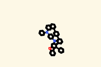 c1ccc(-c2ccc(-c3cccc4c5c(-c6ccccc6)c6c(cc5n(-c5ccc(N(c7ccccc7)c7ccccc7)cc5)c34)oc3ccccc36)cc2)cc1